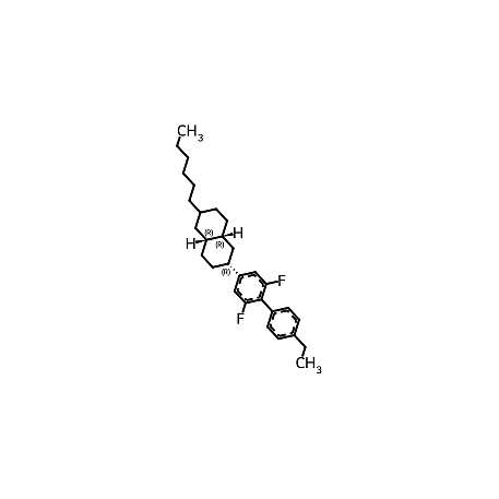 CCCCCCC1CC[C@@H]2C[C@H](c3cc(F)c(-c4ccc(CC)cc4)c(F)c3)CC[C@@H]2C1